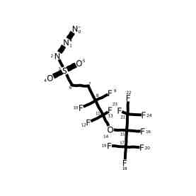 [N-]=[N+]=NS(=O)(=O)CCC(F)(F)C(F)(F)OC(F)(C(F)(F)F)C(F)(F)F